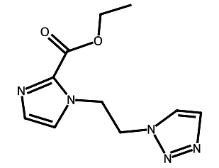 CCOC(=O)c1nccn1CCn1ccnn1